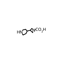 O=C(O)N1CC(C2CCNCC2)C1